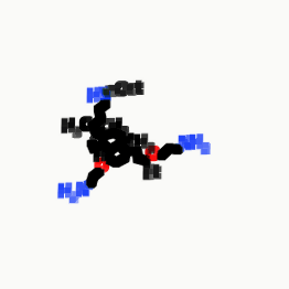 CCCCCCCCNCCC[C@@H](C)[C@H]1CC[C@H]2C3C(OCCCN)CCC(C)(CC[C@H](CC)OCCCN)[C@H]3CCC12C